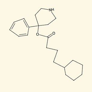 O=C(CCCC1CCCCC1)OC1(c2ccccc2)CCNCC1